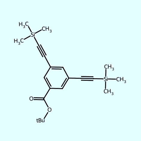 CC(C)(C)OC(=O)c1cc(C#C[Si](C)(C)C)cc(C#C[Si](C)(C)C)c1